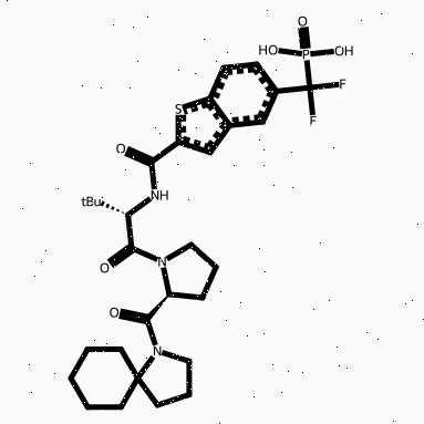 CC(C)(C)[C@H](NC(=O)c1cc2cc(C(F)(F)P(=O)(O)O)ccc2s1)C(=O)N1CCC[C@H]1C(=O)N1CCCC12CCCCC2